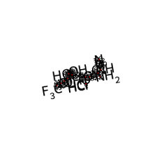 Cl.Cl.NCC(C(=O)Nc1ccc2cnccc2c1)c1ccc(COC(=O)CCCC=CC[C@@H]2[C@@H](C=C[C@@H](O)COc3cccc(C(F)(F)F)c3)[C@H](O)C[C@@H]2O)cc1